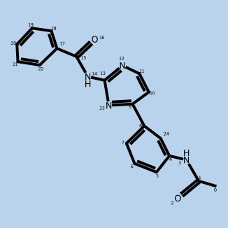 CC(=O)Nc1cccc(-c2ccnc(NC(=O)c3ccccc3)n2)c1